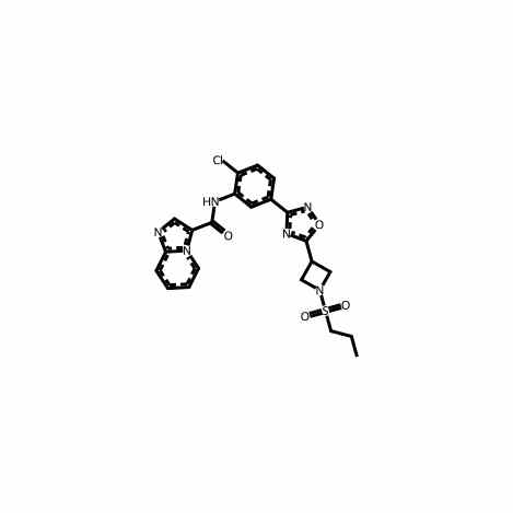 CCCS(=O)(=O)N1CC(c2nc(-c3ccc(Cl)c(NC(=O)c4cnc5ccccn45)c3)no2)C1